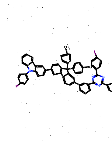 Cc1ccc(C2(c3ccc(C)cc3)c3ccc(-c4ccc5c(c4)c4ccccc4n5-c4ccc(I)cc4)cc3-c3ccc(-c4cccc(-c5nc(-c6ccccc6)nc(-c6ccc(I)cc6)n5)c4)cc32)cc1